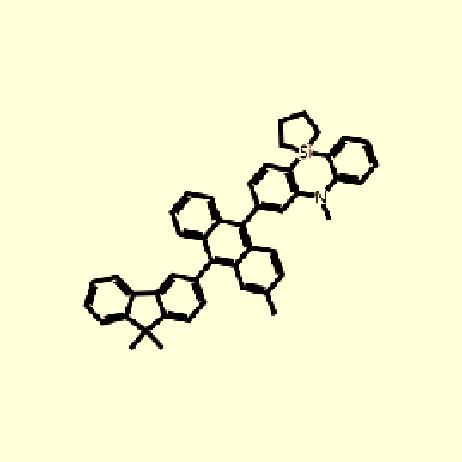 Cc1ccc2c(-c3ccc4c(c3)N(C)c3ccccc3[Si]43CCCC3)c3ccccc3c(-c3ccc4c(c3)-c3ccccc3C4(C)C)c2c1